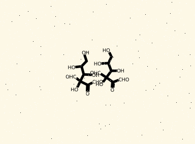 O=CC(=O)C(O)(C=O)C(O)C(O)CO.O=CC(=O)C(O)(C=O)C(O)C(O)CO